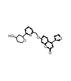 O=c1cc(-c2ccsc2)c2ccc(OCc3cccc(C4CC(O)CCO4)n3)cc2o1